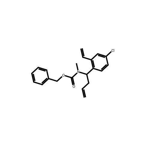 C=CCC(c1ccc(Cl)cc1C=C)N(C)C(=O)OCc1ccccc1